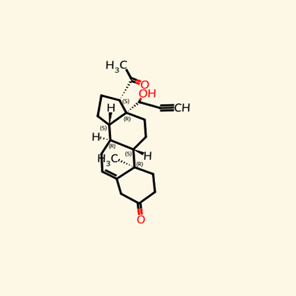 C#CC(O)[C@]12CC[C@H]3[C@@H](CC=C4CC(=O)CC[C@@]43C)[C@@H]1CC[C@@H]2C(C)=O